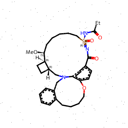 CCC(=O)N[S@@]1(=O)=NC(=O)c2ccc3c(c2)N(Cc2ccccc2CCCCO3)C[C@@H]2CC[C@H]2[C@@H](OC)CCCCC1